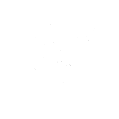 COc1ccc2c(c1)N(c1nn(C3CCOC3)c3c1CN(C(C)=O)CC3)CCC2